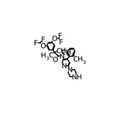 Cc1ccccc1-c1cc(N2CCNCC2)ncc1N(C)C(=O)C(C)(C)c1cc(OC(F)F)cc(OC(F)F)c1